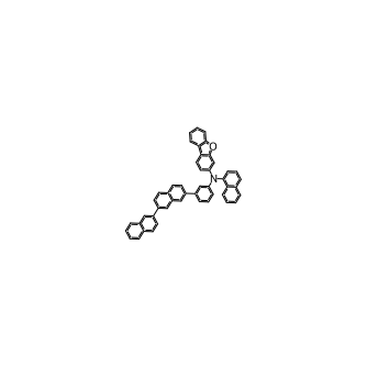 c1cc(-c2ccc3ccc(-c4ccc5ccccc5c4)cc3c2)cc(N(c2ccc3c(c2)oc2ccccc23)c2cccc3ccccc23)c1